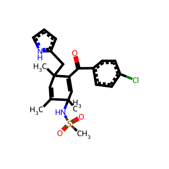 CC1=CC(C)(Cc2ccc[nH]2)C(C(=O)c2ccc(Cl)cc2)=CC1(C)NS(C)(=O)=O